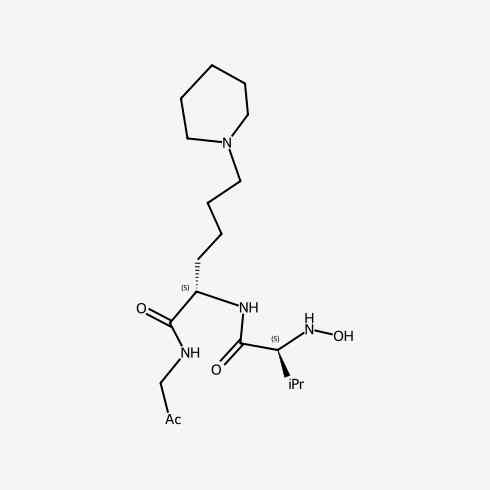 CC(=O)CNC(=O)[C@H](CCCCN1CCCCC1)NC(=O)[C@@H](NO)C(C)C